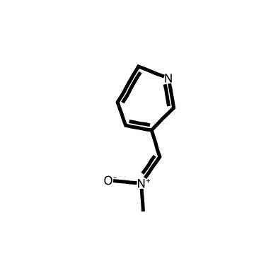 C[N+]([O-])=Cc1cccnc1